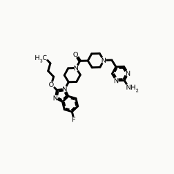 CCCCOc1nc2cc(F)ccc2n1C1CCN(C(=O)C2CCN(Cc3cnc(N)nc3)CC2)CC1